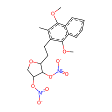 COc1c(C)c(CCC2OCC(O[N+](=O)[O-])C2O[N+](=O)[O-])c(OC)c2ccccc12